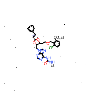 CCNC(=O)Nc1ncnc2c1ncn2CC1O[C@@H](/C=C/c2ccccc2)OC1CCOCc1c(Cl)cccc1C(=O)OCC